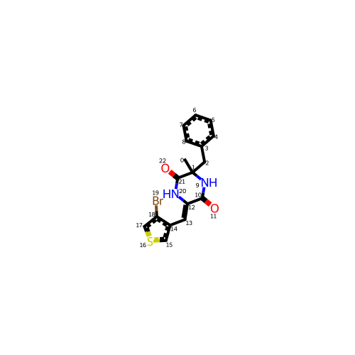 CC1(Cc2ccccc2)NC(=O)/C(=C/c2cscc2Br)NC1=O